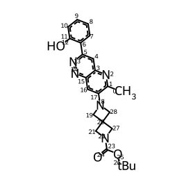 Cc1nc2cc(-c3ccccc3O)nnc2cc1N1CC2(CN(C(=O)OC(C)(C)C)C2)C1